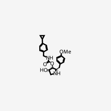 COc1ccc(C[C@H]2NC[C@H](O)[C@H]2OC(=O)NCc2ccc(C3CC3)cc2)cc1